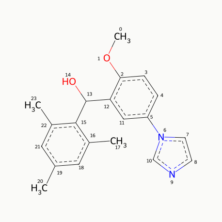 COc1ccc(-n2ccnc2)cc1C(O)c1c(C)cc(C)cc1C